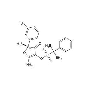 BC(B)(c1ccccc1)S(=O)(=O)OC1=C(N)O[C@](B)(c2cccc(C(F)(F)F)c2)C1=O